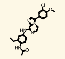 CCc1cc(Nc2nccn3c(-c4ccc(OC)c(Cl)c4)cnc23)ccc1NC(C)=O